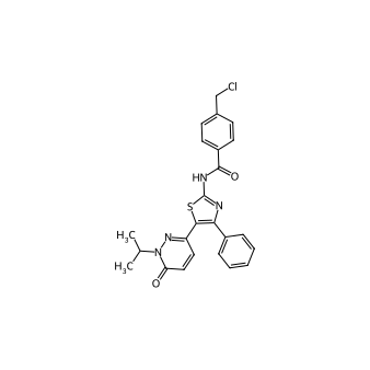 CC(C)n1nc(-c2sc(NC(=O)c3ccc(CCl)cc3)nc2-c2ccccc2)ccc1=O